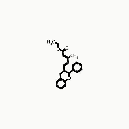 CCOC(=O)/C=C(C)/C=C/C1Cc2ccccc2OC1c1ccccc1